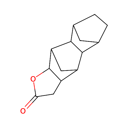 O=C1CC2C3CC(C2O1)C1C2CCC(C2)C31